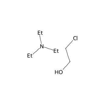 CCN(CC)CC.OCCCl